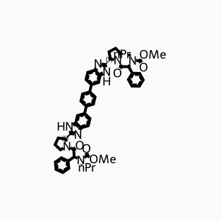 CCCN(C(=O)OC)C(C(=O)N1CCC[C@H]1c1nc2ccc(-c3ccc(-c4ccc5nc([C@@H]6CCCN6C(=O)C(c6ccccc6)N(CCC)C(=O)OC)[nH]c5c4)cc3)cc2[nH]1)c1ccccc1